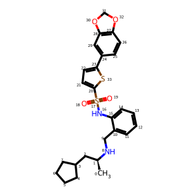 C[C@@H](CC1CCCC1)NCc1ccccc1NS(=O)(=O)c1ccc(-c2ccc3c(c2)OCO3)s1